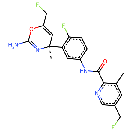 Cc1cc(CF)cnc1C(=O)Nc1ccc(F)c([C@]2(C)C=C(CF)OC(N)=N2)c1